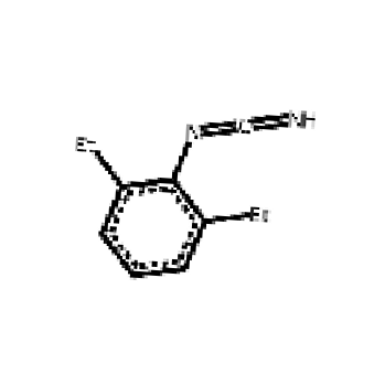 CCc1cccc(CC)c1N=C=N